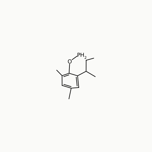 CCC(C)c1cc(C)cc(C)c1OP